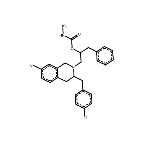 CC(C)(C)NC(=O)OC(Cc1ccccc1)CN1Cc2cc(Cl)ccc2CC1Cc1ccc(Cl)cc1